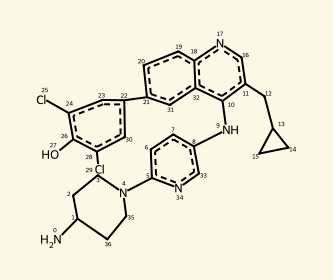 NC1CCN(c2ccc(Nc3c(CC4CC4)cnc4ccc(-c5cc(Cl)c(O)c(Cl)c5)cc34)cn2)CC1